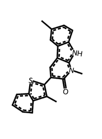 Cc1ccc2[nH]c3c(cc(-c4sc5ccccc5c4C)c(=O)n3C)c2c1